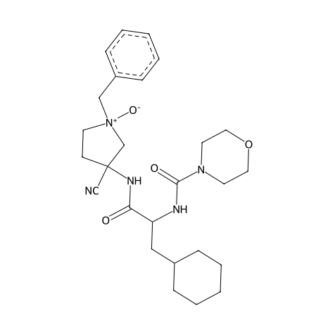 N#CC1(NC(=O)C(CC2CCCCC2)NC(=O)N2CCOCC2)CC[N+]([O-])(Cc2ccccc2)C1